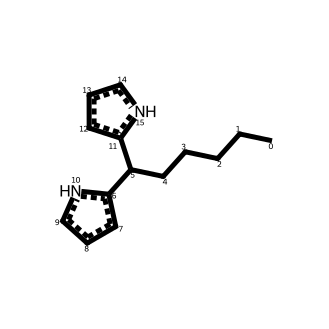 CCCCCC(c1ccc[nH]1)c1ccc[nH]1